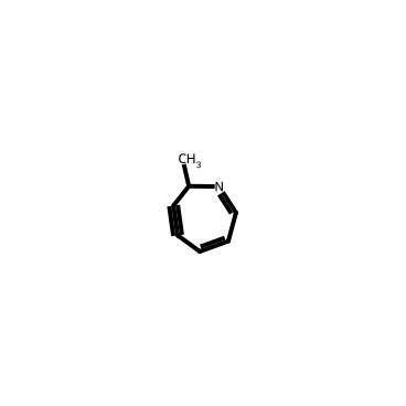 CC1C#CC=CC=N1